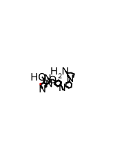 CN(C1=CCCC(N2CCCC(N)C2)=C1)c1ccc(Oc2nc(O)c3ccncc3n2)cc1